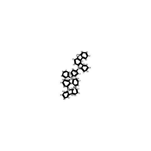 c1ccc([Si](c2ccccc2)(c2ccc(-n3c4ccccc4c4c5c(ccc43)oc3ccccc35)cc2)c2cccc(-n3c4ccccc4c4cccnc43)c2)cc1